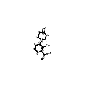 Fc1c(C(F)F)cccc1N1CCNCC1